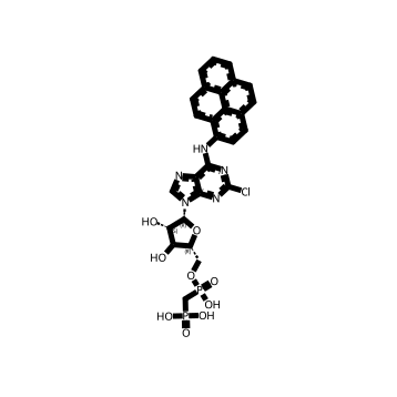 O=P(O)(O)CP(=O)(O)OC[C@H]1O[C@@H](n2cnc3c(Nc4ccc5ccc6cccc7ccc4c5c67)nc(Cl)nc32)[C@@H](O)C1O